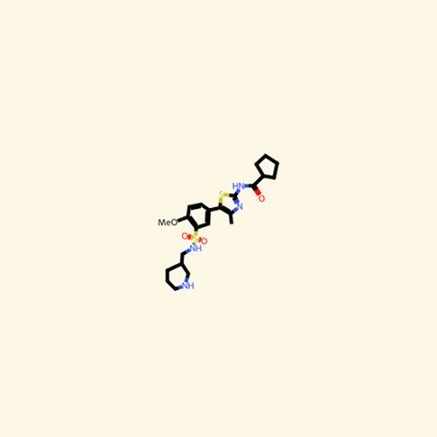 COc1ccc(-c2sc(NC(=O)C3CCCC3)nc2C)cc1S(=O)(=O)NCC1CCCNC1